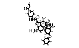 C=CC(=O)N1CCC(NC(=O)c2sc3c(N)ccc4c3c2C(N)C(=O)C4(N)c2ccc(Oc3ccccc3)cc2C)CC1